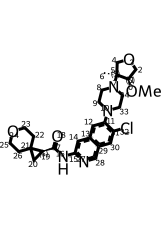 CO[C@@H]1COC[C@]1(C)N1CCN(c2cc3cc(NC(=O)[C@H]4CC45CCOCC5)ncc3cc2Cl)CC1